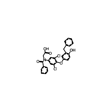 O=C(O)CN(C(=O)c1ccccc1)c1cc(Cl)c(Oc2ccc(O)c(Cc3ccccc3)c2)c(Cl)c1